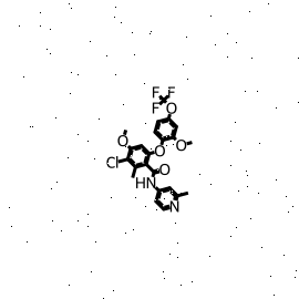 COc1cc(OC(F)(F)F)ccc1Oc1cc(OC)c(Cl)c(C)c1C(=O)Nc1ccnc(C)c1